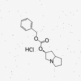 Cl.O=C(OCc1ccccc1)O[C@H]1CC2CCCN2C1